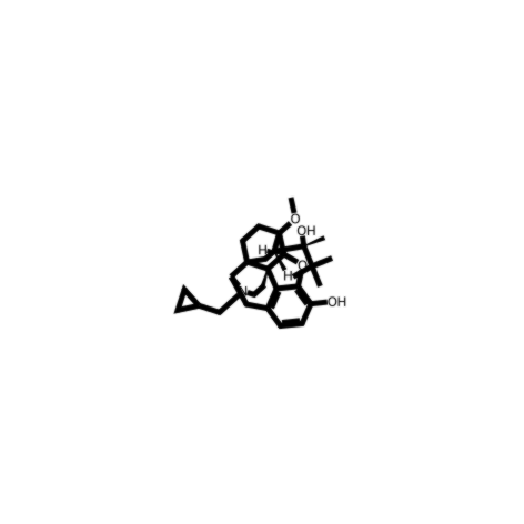 COC12CCC3(C[C@H]1[C@](C)(O)C(C)(C)C)C1Cc4ccc(O)c5c4[C@@]3(CCN1CC1CC1)[C@H]2O5